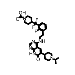 CC(C)N1CCC(c2cc3c(NCCc4cccc(C(F)(F)C5CCN(C(=O)O)CC5)c4F)ncnc3[nH]c2=O)CC1